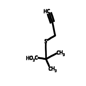 C#CCSC(C)(C)C(=O)O